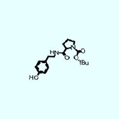 CC(C)(C)OC(=O)N1CCCC1C(=O)NCCc1ccc(O)cc1